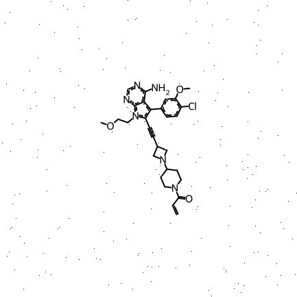 C=CC(=O)N1CCC(N2CC(C#Cc3c(-c4ccc(Cl)c(OC)c4)c4c(N)ncnc4n3CCOC)C2)CC1